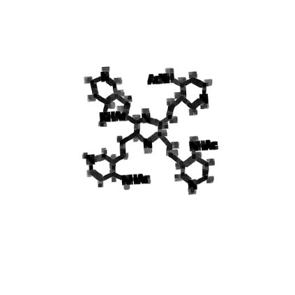 CC(=O)Nc1ccncc1C=Cc1nc(C=Cc2cnccc2NC(C)=O)c(C=Cc2cnccc2NC(C)=O)nc1C=Cc1cnccc1NC(C)=O